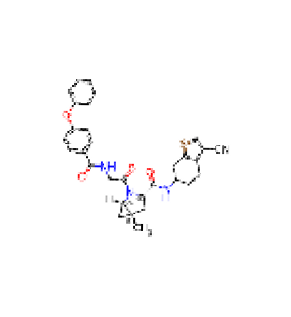 C[C@@]12C[C@@H]1N(C(=O)CNC(=O)c1ccc(Oc3ccccc3)cc1)[C@H](C(=O)NC1CCc3c(C#N)csc3C1)C2